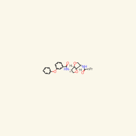 CCCC(=O)N[C@H]1CO[C@H]2[C@@H]1OC[C@@H]2NC(=O)c1cccc(Oc2ccccc2)c1